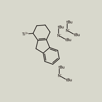 CC(C)(C)[N-]C(C)(C)C.CC(C)(C)[N-]C(C)(C)C.CC(C)(C)[N-]C(C)(C)C.[Ti+3][CH]1CCCC2=C1Cc1ccccc12